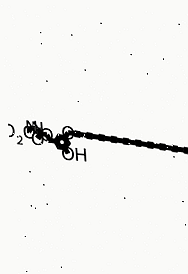 C#CC#CC#CC#CC#CC#CC#CC#CC#CC#CC#COc1cc(O)cc(COC(=O)/N=N\C(=O)OCC)c1